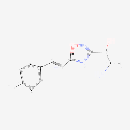 CC(C)[C@H](N)C(O)c1noc(/C=C/c2ccc(C(F)(F)F)cc2)n1